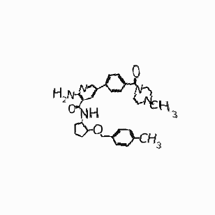 Cc1ccc(CO[C@H]2CCC[C@@H]2NC(=O)c2cc(-c3ccc(C(=O)N4CCN(C)CC4)cc3)cnc2N)cc1